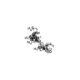 C=C1/C=C\C=C/C[C@H](NC(=O)[C@@H]2C[C@H](NC(=O)c3ccc(-c4ccc(C[C@H](NC(=O)[C@H](C)NC)C(=O)N5C[Si](C)(C)C[C@H]5C(=O)N[C@@H]5CCCc6ccccc65)cc4)cc3)CN2C(=O)[C@@H](NC(=O)[C@H](C)NC)C(C)(C)C)CCC1